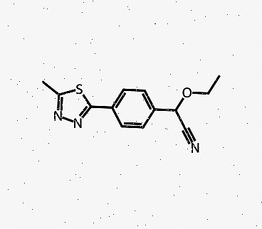 CCOC(C#N)c1ccc(-c2nnc(C)s2)cc1